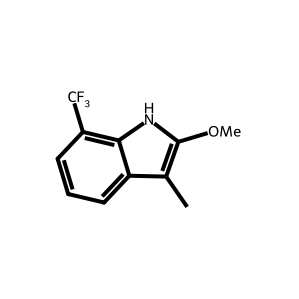 COc1[nH]c2c(C(F)(F)F)cccc2c1C